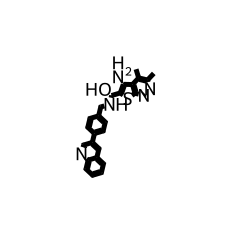 Cc1nnc2sc(C(O)NCc3ccc(-c4cnc5ccccc5c4)cc3)c(N)c2c1C